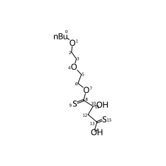 CCCCOCCOCCOC(=S)C(O)CC(O)=S